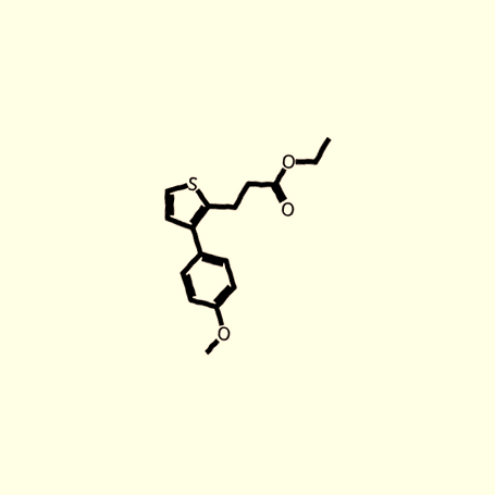 CCOC(=O)CCc1sccc1-c1ccc(OC)cc1